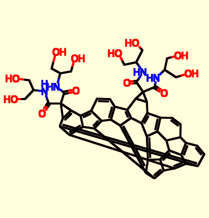 O=C(NC(CO)CO)C1(C(=O)NC(CO)CO)c2c1c1c3ccc4c5c6c7c(c8c9c7c7c%10c%11c%12c(ccc%13c2c2c1c1c3c4c6c7c1c%10c2c%12%13)C(C=C8)C9%11)C1C5C1(C(=O)NC(CO)CO)C(=O)NC(CO)CO